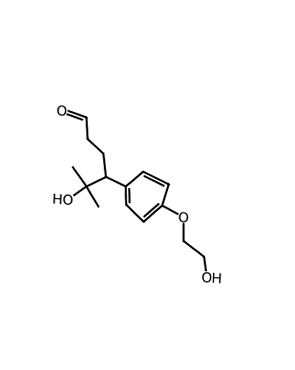 CC(C)(O)C(CCC=O)c1ccc(OCCO)cc1